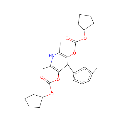 CC1=C(OC(=O)OC2CCCC2)C(c2cccc(C)c2)C(OC(=O)OC2CCCC2)=C(C)N1